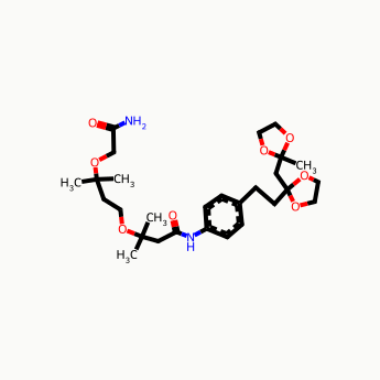 CC(C)(CCOC(C)(C)CC(=O)Nc1ccc(CCC2(CC3(C)OCCO3)OCCO2)cc1)OCC(N)=O